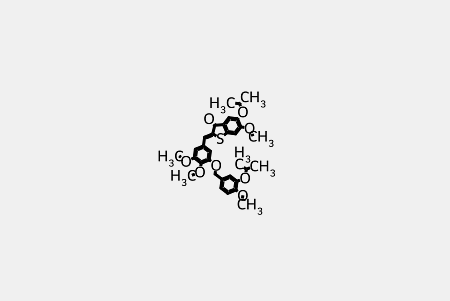 COc1ccc(COc2cc(C=C3Sc4cc(OC)c(OC(C)C)cc4C3=O)cc(OC)c2OC)cc1OC(C)C